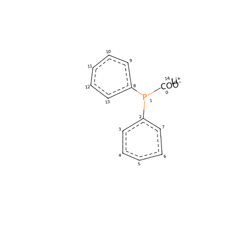 O=C([O-])P(c1ccccc1)c1ccccc1.[Li+]